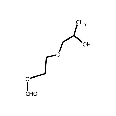 CC(O)COCCOC=O